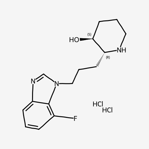 Cl.Cl.O[C@H]1CCCN[C@@H]1CCCn1cnc2cccc(F)c21